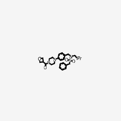 CC(C)CN(Cc1ccc(N2CCN(C(=O)C3COC3)CC2)cc1)S(=O)(=O)Cc1ccccc1